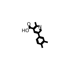 Cc1ccc(-c2cnc(C)c(C(=O)O)c2)cc1C